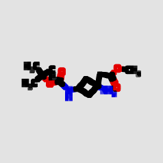 COC(=O)CC1(N)CC(NC(=O)OC(C)(C)C)C1